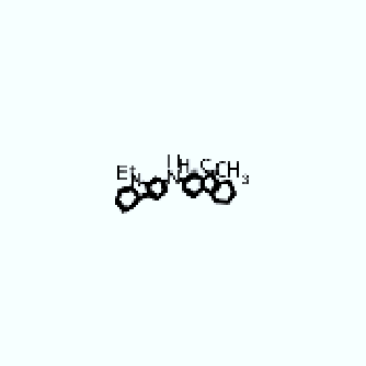 CCn1c2ccccc2c2ccc(Nc3ccc4c(c3)C(C)(C)C3=C4CCCC3)cc21